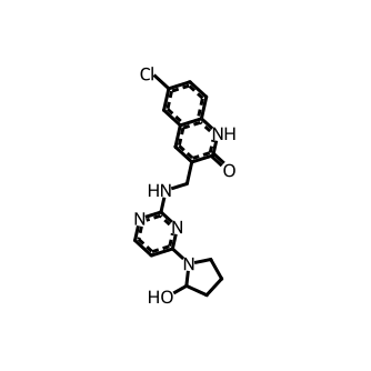 O=c1[nH]c2ccc(Cl)cc2cc1CNc1nccc(N2CCCC2O)n1